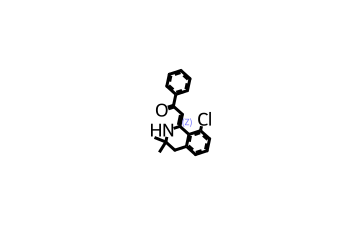 CC1(C)Cc2cccc(Cl)c2/C(=C/C(=O)c2ccccc2)N1